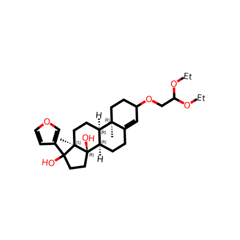 CCOC(COC1C=C2CC[C@@H]3[C@@H](CC[C@]4(C)C(O)(c5ccoc5)CC[C@@]34O)[C@@]2(C)CC1)OCC